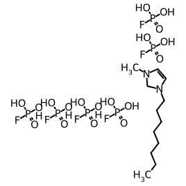 CCCCCCCCN1C=CN(C)C1.O=P(O)(O)F.O=P(O)(O)F.O=P(O)(O)F.O=P(O)(O)F.O=P(O)(O)F.O=P(O)(O)F